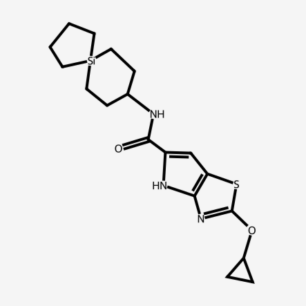 O=C(NC1CC[Si]2(CCCC2)CC1)c1cc2sc(OC3CC3)nc2[nH]1